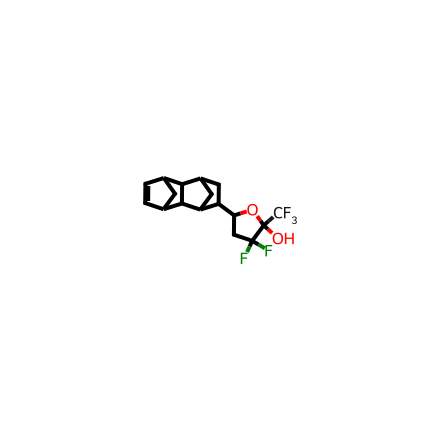 OC1(C(F)(F)F)OC(C2CC3CC2C2C4C=CC(C4)C32)CC1(F)F